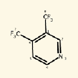 FC(F)(F)c1[c]nccc1C(F)(F)F